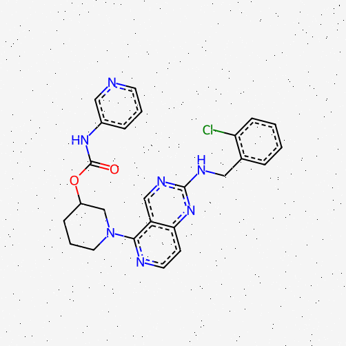 O=C(Nc1cccnc1)OC1CCCN(c2nccc3nc(NCc4ccccc4Cl)ncc23)C1